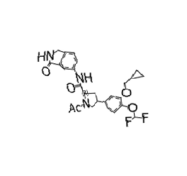 CC(=O)N1CC(c2ccc(OC(F)F)c(OCC3CC3)c2)C[C@@H]1C(=O)Nc1ccc2c(c1)C(=O)NC2